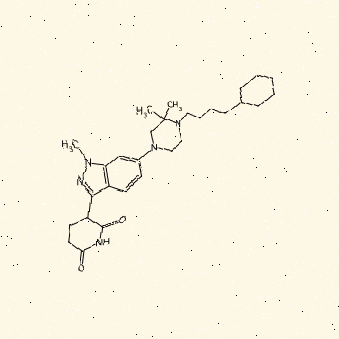 Cn1nc(C2CCC(=O)NC2=O)c2ccc(N3CCN(CCCCC4CCCCC4)C(C)(C)C3)cc21